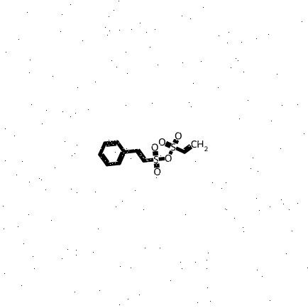 C=CS(=O)(=O)OS(=O)(=O)C=Cc1ccccc1